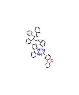 C1=CCC2C(=C1)Oc1ccc(C3N=C(c4cccc(-c5cc(-c6ccccc6)c(-c6ccccc6)c(-c6ccccc6)c5-c5ccccc5)c4)N=C(c4ccccc4)N3)cc12